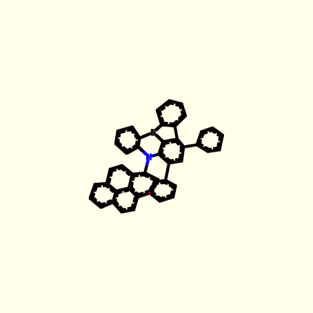 c1ccc(-c2cc(-c3ccccc3)c3c4c2-c2ccccc2B4c2ccccc2N3c2ccc3ccc4cccc5ccc2c3c45)cc1